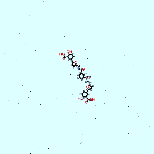 O=C(/C=C/c1ccc(-c2ccc(O)c(C(=O)O)c2)o1)c1cccc(C(=O)/C=C/c2ccc(-c3ccc(O)c(C(=O)O)c3)o2)c1